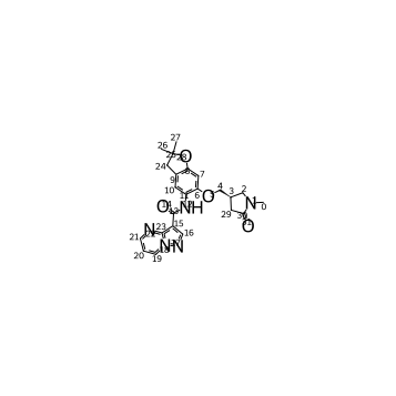 CN1C[C@H](COc2cc3c(cc2NC(=O)c2cnn4cccnc24)CC(C)(C)O3)CC1=O